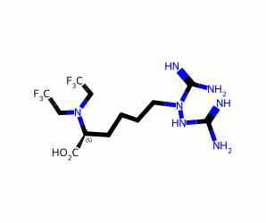 N=C(N)NN(CCCC[C@@H](C(=O)O)N(CC(F)(F)F)CC(F)(F)F)C(=N)N